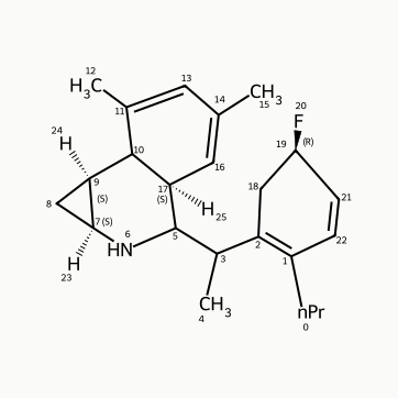 CCCC1=C(C(C)C2N[C@H]3C[C@H]3C3C(C)=CC(C)=C[C@@H]23)C[C@@H](F)C=C1